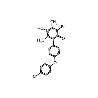 Cc1c(Br)c(=O)c(-c2ccc(Oc3ccc(Cl)cc3)cc2)c(C)n1O